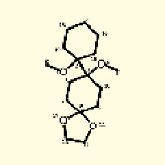 COC1(C2(OC)CCC3(CC2)OCCO3)CCCCC1